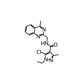 CCn1nc(C)c(C(=O)NCc2nc(C)c3ccccc3n2)c1Cl